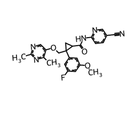 COc1cc(F)cc(C2(COc3cnc(C)nc3C)CC2C(=O)Nc2ccc(C#N)cn2)c1